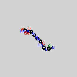 CN(c1ccc(C#N)c(Cl)c1)C1CCC(NC(=O)c2ccc(N3CCN(C4CCN(c5ccc6c(c5)C(=O)N(C5CCC(=O)NC5=O)C6=O)CC4)CC3)cc2)CC1